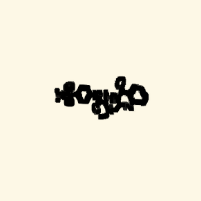 CCN(CC(=O)Nc1ccc(S(=O)(=O)N(C)C)cc1)Cc1nc2ccccc2c(=O)[nH]1